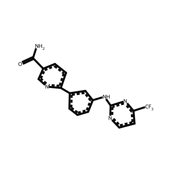 NC(=O)c1ccc(-c2cccc(Nc3nccc(C(F)(F)F)n3)c2)nc1